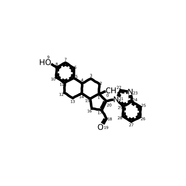 CC12CCC3c4ccc(O)cc4CCC3C1CC(C=O)=C2n1cnc2ccccc21